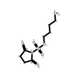 CCCCCOS(=O)(=O)N1C(=O)CCC1=O